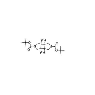 CC(C)(C)OC(=O)N1C[C@H]2[C@@H]3CN(C(=O)OC(C)(C)C)C[C@@H]3[C@H]2C1